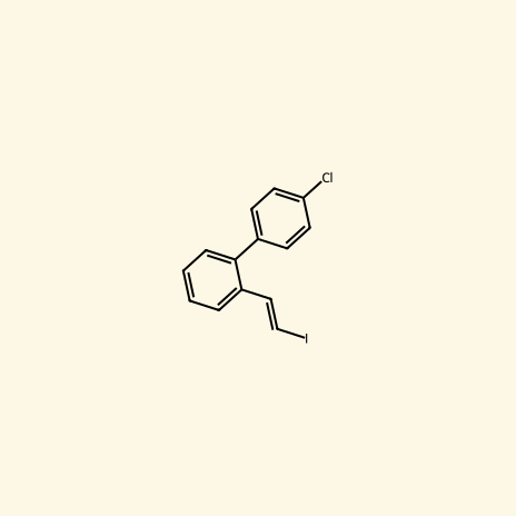 Clc1ccc(-c2ccccc2/C=C/I)cc1